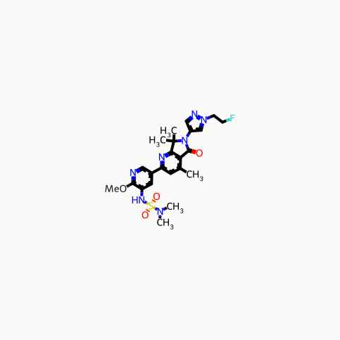 COc1ncc(-c2cc(C)c3c(n2)C(C)(C)N(c2cnn(CCF)c2)C3=O)cc1NS(=O)(=O)N(C)C